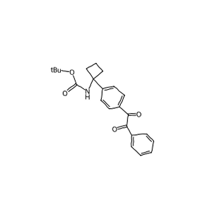 CC(C)(C)OC(=O)NC1(c2ccc(C(=O)C(=O)c3ccccc3)cc2)CCC1